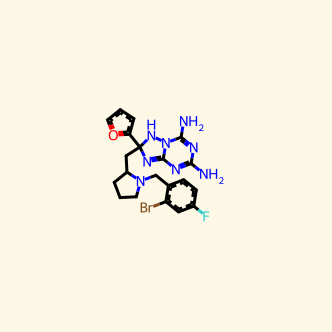 NC1=NC2=NC(CC3CCCN3Cc3ccc(F)cc3Br)(c3ccco3)NN2C(N)=N1